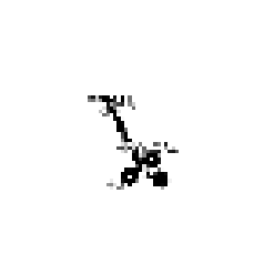 CCCCN(C)C(=O)CCCCCCCNC(=O)Cc1c(-c2ccc(O)cc2)n(Cc2ccccc2)c2ccc(OC(C)=O)cc12